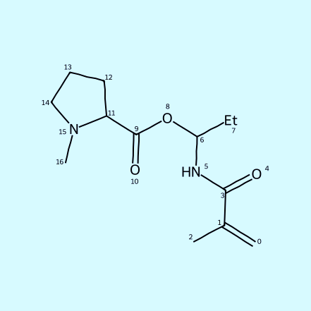 C=C(C)C(=O)NC(CC)OC(=O)C1CCCN1C